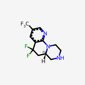 FC(F)(F)c1cnc2c(c1)C(F)(F)C[C@H]1CNCCN21